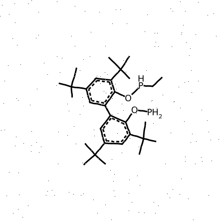 CCPOc1c(-c2cc(C(C)(C)C)cc(C(C)(C)C)c2OP)cc(C(C)(C)C)cc1C(C)(C)C